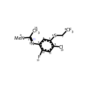 CN/C(=N/c1cc(SCC(F)(F)F)c(Cl)cc1F)C(F)(F)F